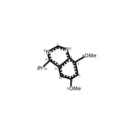 COc1cc(OC)c2ncnc(C(C)C)c2c1